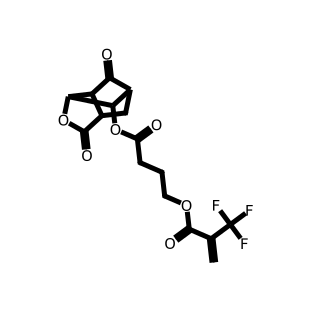 C=C(C(=O)OCCCC(=O)OC1C2CC3C(=O)OC1C3C2=O)C(F)(F)F